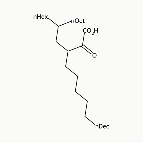 CCCCCCCCCCCCCCCC(CC(CCCCCC)CCCCCCCC)C(=O)C(=O)O